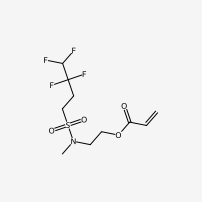 C=CC(=O)OCCN(C)S(=O)(=O)CCC(F)(F)C(F)F